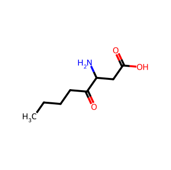 CCCCC(=O)C(N)CC(=O)O